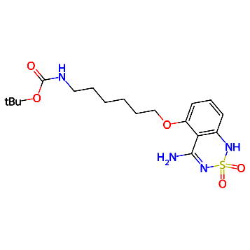 CC(C)(C)OC(=O)NCCCCCCOc1cccc2c1C(N)=NS(=O)(=O)N2